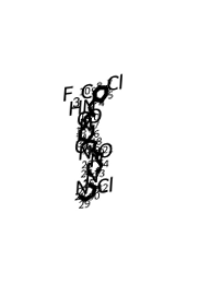 O=C(Nc1ccc(Cl)cc1C(F)(F)F)ON1CCC2(CC1)CC(C(=O)N1CCN(c3ncccc3Cl)CC1)=NO2